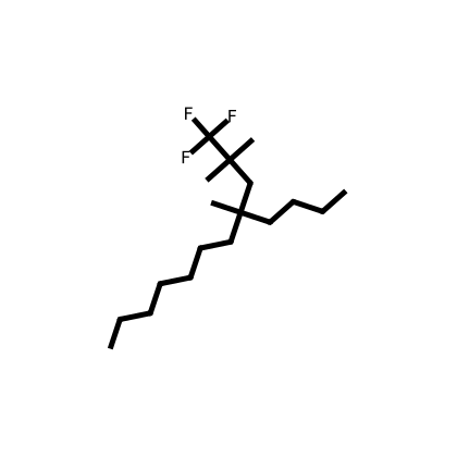 CCCCCCCC(C)(CCCC)CC(C)(C)C(F)(F)F